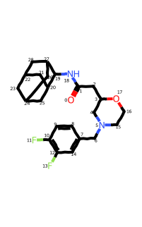 O=C(CC1CN(Cc2ccc(F)c(F)c2)CCO1)NC1C2CC3CC(C2)CC1C3